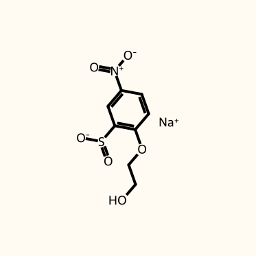 O=[N+]([O-])c1ccc(OCCO)c(S(=O)[O-])c1.[Na+]